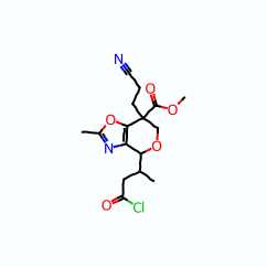 COC(=O)C1(CCC#N)COC(C(C)CC(=O)Cl)c2nc(C)oc21